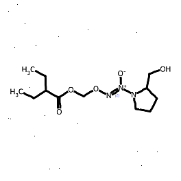 CCC(CC)C(=O)OCO/N=[N+](\[O-])N1CCCC1CO